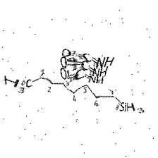 CCCCCCCC[SiH3].N=C=O.N=C=O.N=C=O